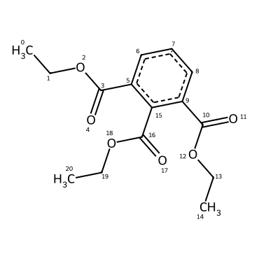 CCOC(=O)c1c[c]cc(C(=O)OCC)c1C(=O)OCC